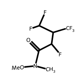 CON(C)C(=O)C(F)C(C(F)F)C(F)(F)F